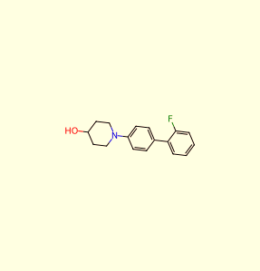 OC1CCN(c2ccc(-c3ccccc3F)cc2)CC1